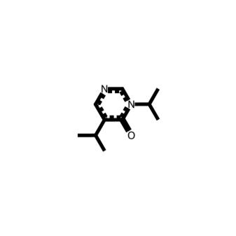 CC(C)c1cncn(C(C)C)c1=O